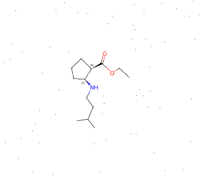 CCOC(=O)[C@@H]1CCC[C@@H]1NCCC(C)C